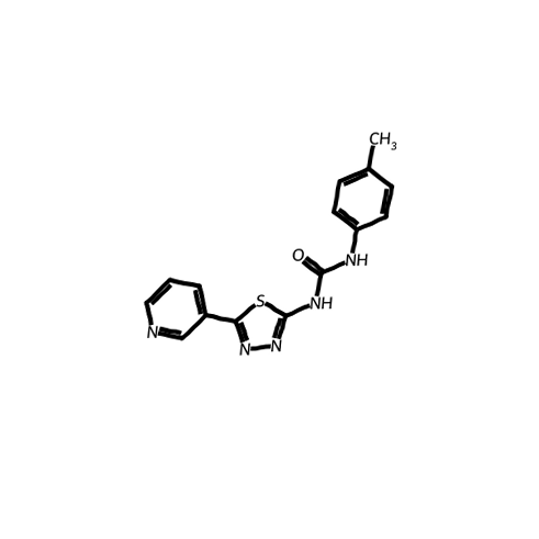 Cc1ccc(NC(=O)Nc2nnc(-c3cccnc3)s2)cc1